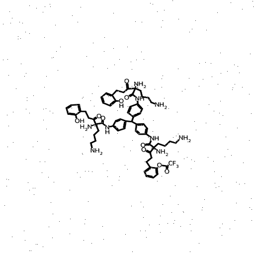 NCCCC[C@](N)(C(=O)CCc1ccccc1O)C(=O)Nc1ccc(C(c2ccc(NC(=O)[C@](N)(CCCCN)C(=O)CCc3ccccc3O)cc2)c2ccc(NC(=O)[C@](N)(CCCCN)C(=O)CCc3ccccc3OC(=O)C(F)(F)F)cc2)cc1